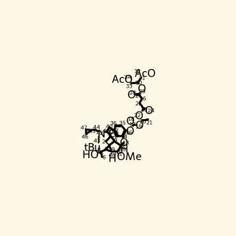 CC[C@@]12C[C@]34C([C@](C)(O)C(C)(C)C)[C@@H]3C(OC)[C@@H]3Oc5c(OC(=O)OC(C)OC(=O)CCC(=O)OC(COC(C)=O)COC(C)=O)ccc(c5[C@@]314)CC2N(I)CC1CC1